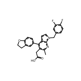 Cc1nc2c(ccn2Cc2ccc(F)c(F)c2)c(-c2ccc3c(c2)CCO3)c1CC(=O)O